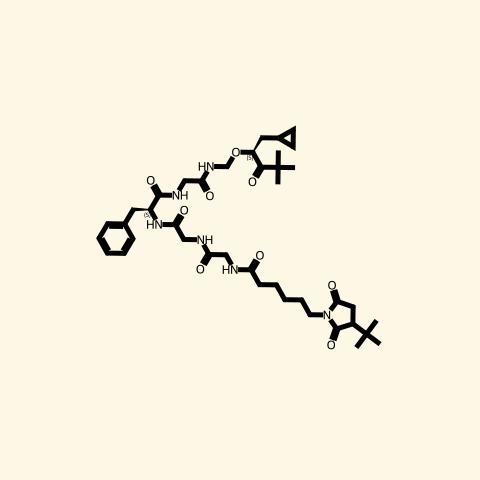 CC(C)(C)C(=O)[C@H](CC1CC1)OCNC(=O)CNC(=O)[C@H](Cc1ccccc1)NC(=O)CNC(=O)CNC(=O)CCCCCN1C(=O)CC(C(C)(C)C)C1=O